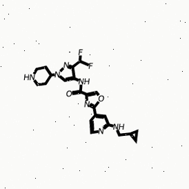 O=C(Nc1cn(C2CCNCC2)nc1C(F)F)c1coc(-c2ccnc(NCC3CC3)c2)n1